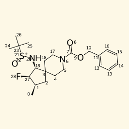 C[C@@H]1CC2(CCN(C(=O)OCc3ccccc3)CC2)[C@H](N[S@+]([O-])C(C)(C)C)[C@@H]1F